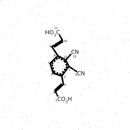 N#Cc1c(C=CC(=O)O)ccc(C=CC(=O)O)c1C#N